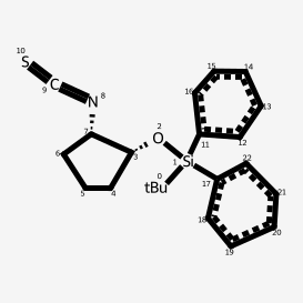 CC(C)(C)[Si](O[C@@H]1CCC[C@@H]1N=C=S)(c1ccccc1)c1ccccc1